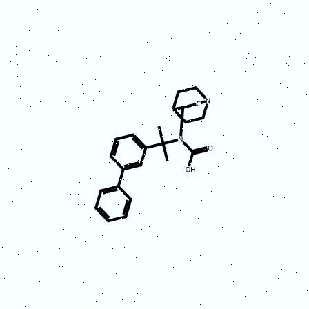 CC(C)(c1cccc(-c2ccccc2)c1)N(C(=O)O)C1CN2CCC1CC2